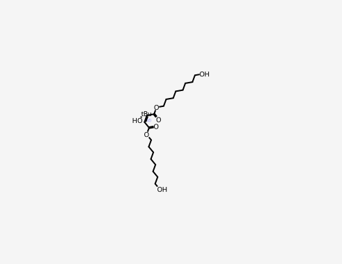 CC(C)(C)O.O=C(/C=C\C(=O)OCCCCCCCCO)OCCCCCCCCO